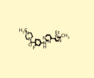 CCn1c(-c2ccnc(Nc3ccc(C(=O)N4CCN(C)CC4)c(F)c3)n2)cnc1C